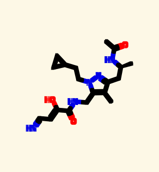 CC(=O)N[C@@H](C)Cc1nn(CCC2CC2)c(CNC(=O)/C(O)=C/C=N)c1C